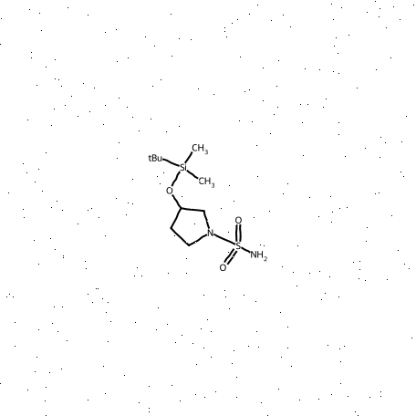 CC(C)(C)[Si](C)(C)OC1CCN(S(N)(=O)=O)C1